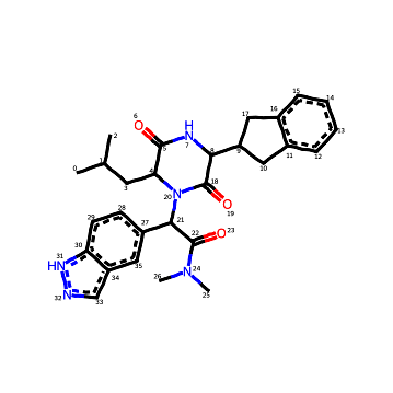 CC(C)CC1C(=O)NC(C2Cc3ccccc3C2)C(=O)N1C(C(=O)N(C)C)c1ccc2[nH]ncc2c1